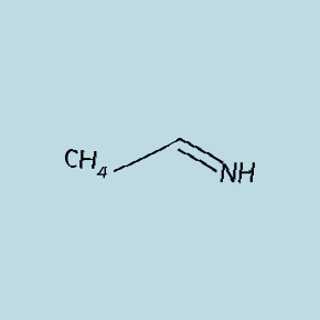 C.CC=N